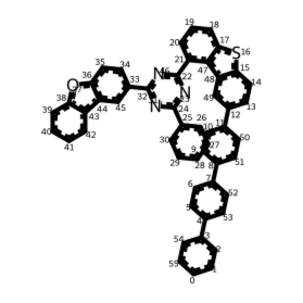 c1ccc(-c2ccc(-c3ccc(-c4ccc5sc6cccc(-c7nc(-c8ccccc8)nc(-c8ccc9oc%10ccccc%10c9c8)n7)c6c5c4)cc3)cc2)cc1